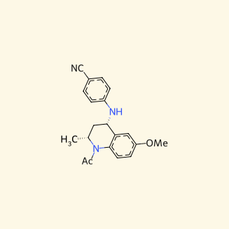 COc1ccc2c(c1)[C@@H](Nc1ccc(C#N)cc1)C[C@@H](C)N2C(C)=O